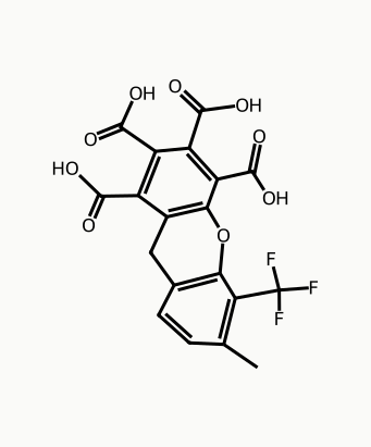 Cc1ccc2c(c1C(F)(F)F)Oc1c(c(C(=O)O)c(C(=O)O)c(C(=O)O)c1C(=O)O)C2